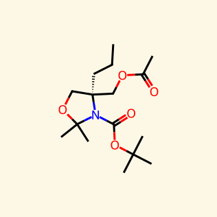 CCC[C@@]1(COC(C)=O)COC(C)(C)N1C(=O)OC(C)(C)C